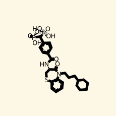 O=C(N[C@H]1CSc2ccccc2N(CCCC2CCCCC2)C1=O)c1ccc(C(P(=O)(O)O)P(=O)(O)O)cc1